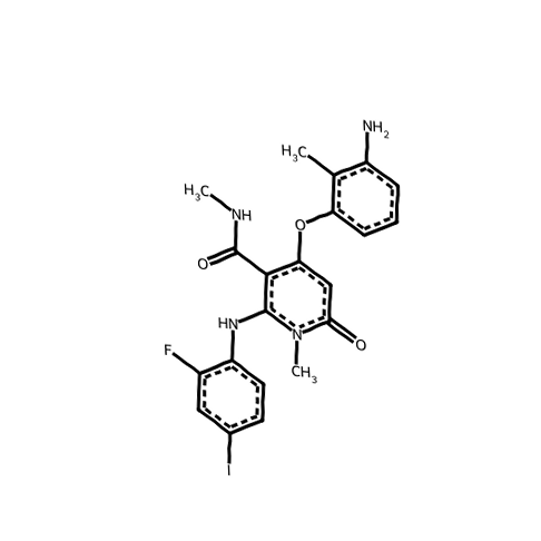 CNC(=O)c1c(Oc2cccc(N)c2C)cc(=O)n(C)c1Nc1ccc(I)cc1F